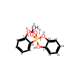 COP12(OOc3ccccc31)Oc1ccccc1O2